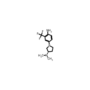 CN(C)[C@@H]1CCN(c2ccc(N)c(C(F)(F)F)c2)C1